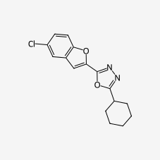 Clc1ccc2oc(-c3nnc(C4CCCCC4)o3)cc2c1